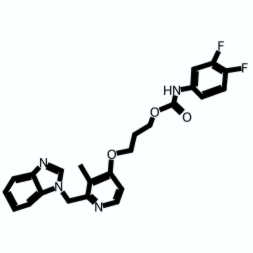 Cc1c(OCCCOC(=O)Nc2ccc(F)c(F)c2)ccnc1Cn1cnc2ccccc21